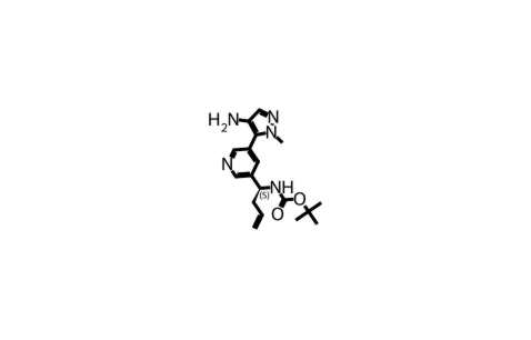 C=CC[C@H](NC(=O)OC(C)(C)C)c1cncc(-c2c(N)cnn2C)c1